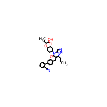 CCCc1c(Cc2ccc(-c3ccccc3C#N)cc2)c(=O)n([C@H]2CC[C@H](OC(CC)C(=O)O)CC2)c2cnnn12